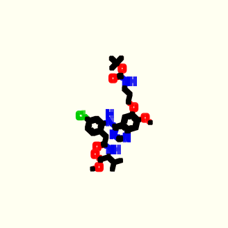 COC(=O)[C@H](NC(=O)Cc1ccc(Cl)cc1Nc1ncnc2cc(OC)c(OCCCNC(=O)OC(C)(C)C)cc12)C(C)C